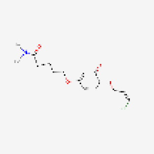 CCN(CC)C(=O)CCCCOC1=CC(=O)C(OCC=C(Cl)Cl)C=C1